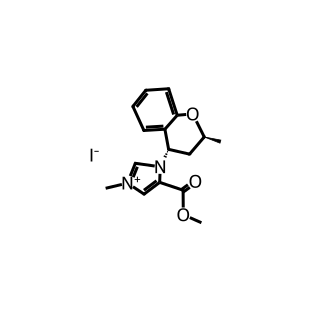 COC(=O)c1c[n+](C)cn1[C@H]1C[C@H](C)Oc2ccccc21.[I-]